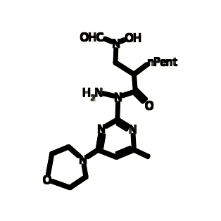 CCCCCC(CN(O)C=O)C(=O)N(N)c1nc(C)cc(N2CCOCC2)n1